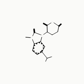 C=C1N(C)c2ccc(C(C)C)cc2N1C1CCC(=O)NC1=O